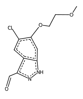 COCCOc1cc2[nH]nc(C=O)c2cc1Cl